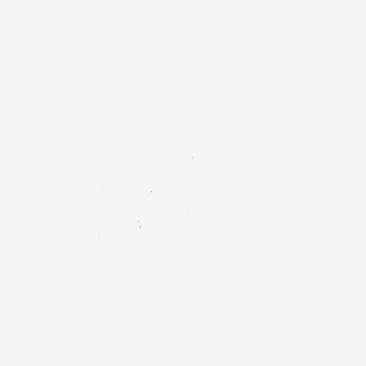 C/C(C(=O)O)=C(/C)C(F)(F)C(F)(F)C(F)(F)F